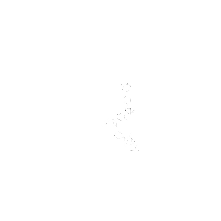 Cn1c(=O)n(-c2ccc(C[C@H](NC(=O)c3cc(F)c(NS(=O)(=O)c4ccc(-c5cncnc5)cc4)cc3F)C(=O)OC3CCCCC3)nc2)c(=O)c2ccncc21